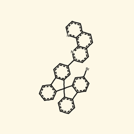 Brc1ccc2c(c1)C1(c3ccccc3-2)c2ccccc2-c2ccc(-c3ccc4ccc5cccnc5c4n3)cc21